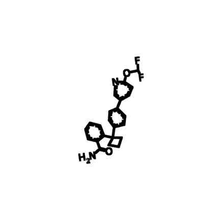 NC(=O)c1ccccc1C1(c2ccc(-c3ccc(OC(F)F)nc3)cc2)CCC1